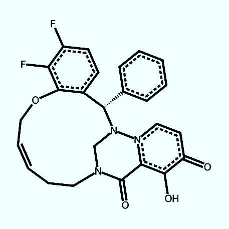 O=C1c2c(O)c(=O)ccn2N2CN1CC/C=C\COc1c(ccc(F)c1F)[C@@H]2c1ccccc1